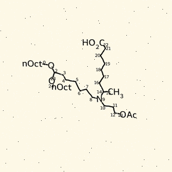 CCCCCCCCOC(CCCCCCN(CCCOC(C)=O)C(C)CCCCCCC(=O)O)OCCCCCCCC